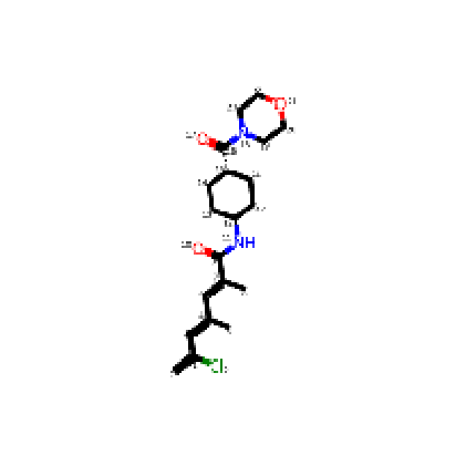 C=C(Cl)/C=C(C)/C=C(\C)C(=O)N[C@H]1CC[C@H](C(=O)N2CCOCC2)CC1